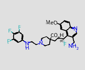 COc1ccc2ncc(CN)c([C@H](F)CCC3(C(=O)O)CCN(CCNc4cc(F)c(F)c(F)c4)CC3)c2c1